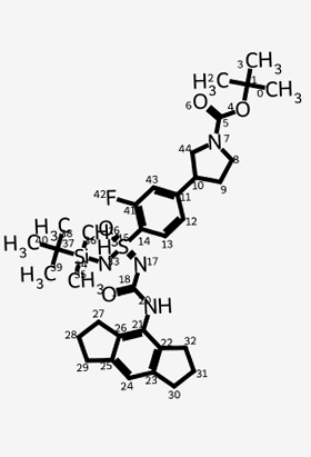 CC(C)(C)OC(=O)N1CCC(c2ccc(S(=O)(=NC(=O)Nc3c4c(cc5c3CCC5)CCC4)N[Si](C)(C)C(C)(C)C)c(F)c2)C1